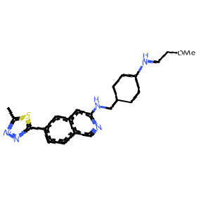 COCCNC1CCC(CNc2cc3cc(-c4nnc(C)s4)ccc3cn2)CC1